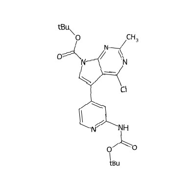 Cc1nc(Cl)c2c(-c3ccnc(NC(=O)OC(C)(C)C)c3)cn(C(=O)OC(C)(C)C)c2n1